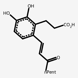 CCCCCC(=O)C=Cc1ccc(O)c(O)c1CCC(=O)O